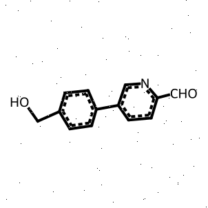 O=Cc1ccc(-c2ccc(CO)cc2)cn1